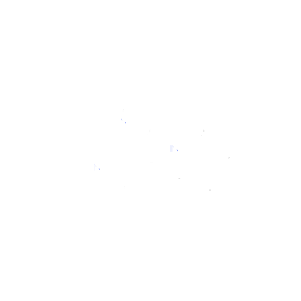 Cc1ncc2c(n1)CC1CCC2N1